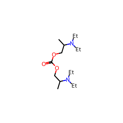 CCN(CC)C(C)COC(=O)OCC(C)N(CC)CC